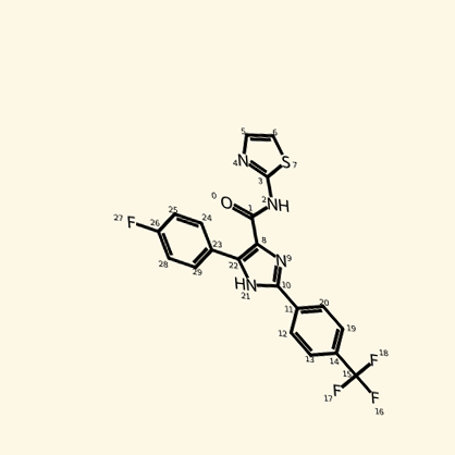 O=C(Nc1nccs1)c1nc(-c2ccc(C(F)(F)F)cc2)[nH]c1-c1ccc(F)cc1